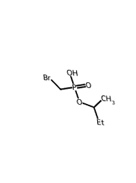 CCC(C)OP(=O)(O)CBr